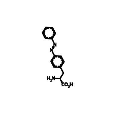 N[C@@H](Cc1ccc(/N=N/c2ccccc2)cc1)C(=O)O